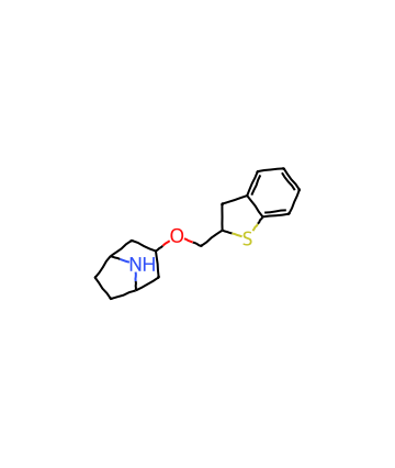 c1ccc2c(c1)CC(COC1CC3CCC(C1)N3)S2